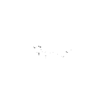 CC(C)OC(=O)[C@H](C)NPOCC1O[C@@H](n2ccc(=O)[nH]c2=O)C(C)(F)[C@H]1O